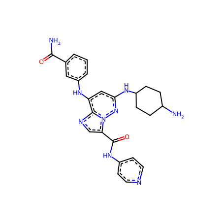 NC(=O)c1cccc(Nc2cc(NC3CCC(N)CC3)nn3c(C(=O)Nc4ccncc4)cnc23)c1